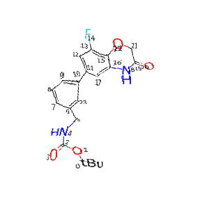 CC(C)(C)OC(=O)NCc1cccc(-c2cc(F)c3c(c2)NC(=O)CO3)c1